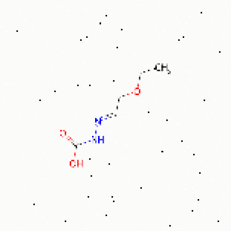 CCOC/C=N/NC(=O)O